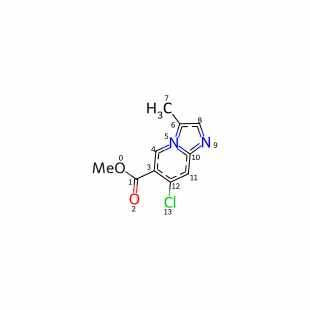 COC(=O)c1cn2c(C)cnc2cc1Cl